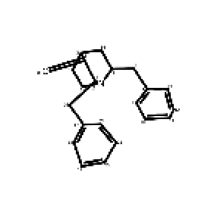 O=C1C2CCN(C(Cc3ccccc3)C2)C1Cc1ccccc1